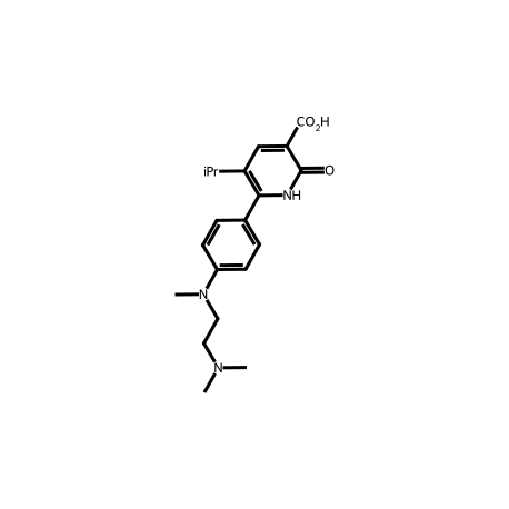 CC(C)c1cc(C(=O)O)c(=O)[nH]c1-c1ccc(N(C)CCN(C)C)cc1